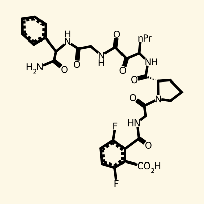 CCCC(NC(=O)[C@@H]1CCCN1C(=O)CNC(=O)c1c(F)ccc(F)c1C(=O)O)C(=O)C(=O)NCC(=O)NC(C(N)=O)c1ccccc1